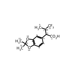 C[C@H](C(C(=O)O)c1ccc2c(c1)OC(C)(C)O2)C(F)(F)F